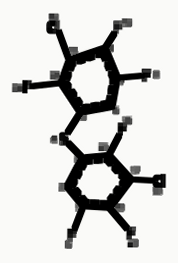 Fc1cc(Sc2cc(F)c(F)c(Cl)c2F)c(F)c(Cl)c1F